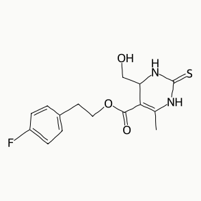 CC1=C(C(=O)OCCc2ccc(F)cc2)C(CO)NC(=S)N1